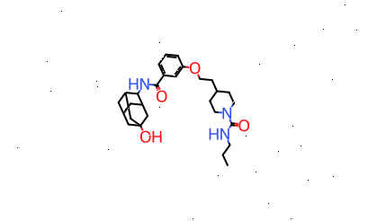 CCCNC(=O)N1CCC(CCOc2cccc(C(=O)NC3C4CC5CC3CC(O)(C5)C4)c2)CC1